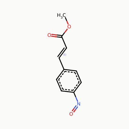 COC(=O)/C=C/c1ccc(N=O)cc1